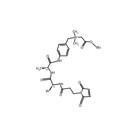 CC(C)[C@H](NC(=O)CCN1C(=O)C=CC1=O)C(=O)N[C@@H](C)C(=O)Nc1ccc(C[N+](C)(C)CC(=O)OC(C)(C)C)cc1